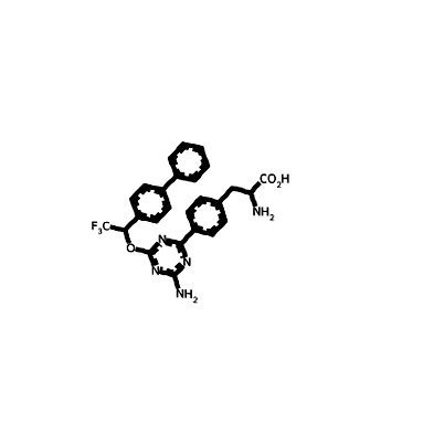 Nc1nc(OC(c2ccc(-c3ccccc3)cc2)C(F)(F)F)nc(-c2ccc(CC(N)C(=O)O)cc2)n1